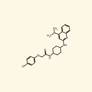 CN(C)c1cc(NC2CCC(NC(=O)COc3ccc(Cl)cc3)CC2)nc2ccccc12